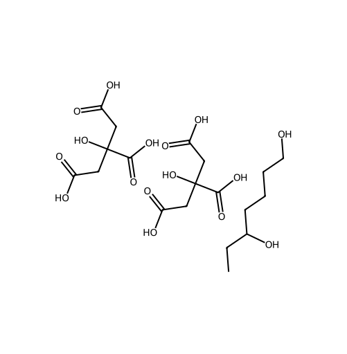 CCC(O)CCCCO.O=C(O)CC(O)(CC(=O)O)C(=O)O.O=C(O)CC(O)(CC(=O)O)C(=O)O